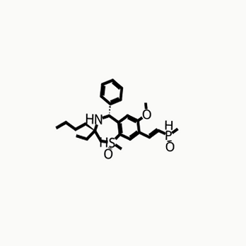 CCCC[C@]1(CC)C[SH](C)(=O)c2cc(/C=C/[PH](C)=O)c(OC)cc2[C@@H](c2ccccc2)N1